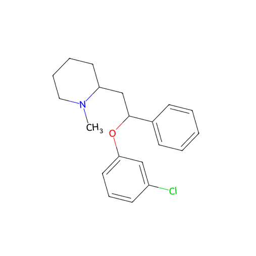 CN1CCCCC1CC(Oc1cccc(Cl)c1)c1ccccc1